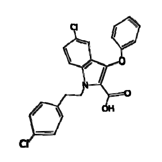 O=C(O)c1c(Oc2ccccc2)c2cc(Cl)ccc2n1CCc1ccc(Cl)cc1